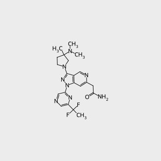 CN(C)C1(C)CCN(c2nn(-c3cncc(C(C)(F)F)n3)c3cc(CC(N)=O)ncc23)C1